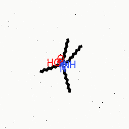 CCCCCCCCCC/N=C(\NCCCCCCCCCC)[N+](CCCCCCCCCC)(CCCCCCCCCC)C(=O)O